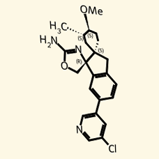 CO[C@H]1CC[C@@]2(Cc3ccc(-c4cncc(Cl)c4)cc3[C@@]23COC(N)=N3)C[C@@H]1C